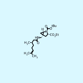 CCOC(=O)[C@@H]1C[C@@]2(CNC(=O)C[C@H](C)CCC=C(C)C)C[C@H]2N1C(=O)OC(C)(C)C